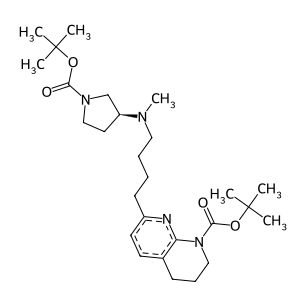 CN(CCCCc1ccc2c(n1)N(C(=O)OC(C)(C)C)CCC2)[C@H]1CCN(C(=O)OC(C)(C)C)C1